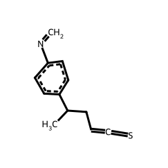 C=Nc1ccc(C(C)CC=C=S)cc1